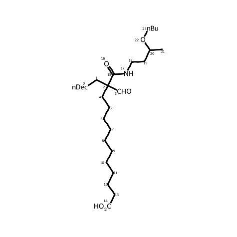 CCCCCCCCCCCC(C=O)(CCCCCCCCCCC(=O)O)C(=O)NCCC(C)OCCCC